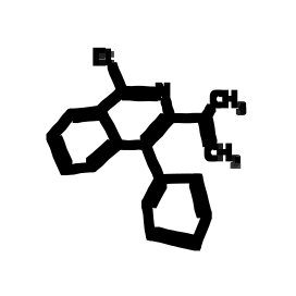 C=C(C)c1nc(CC)c2ccccc2c1-c1ccccc1